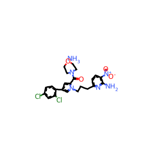 N.Nc1nc(CCCn2cc(-c3ccc(Cl)cc3Cl)cc2C(=O)N2CCOCC2)ccc1[N+](=O)[O-]